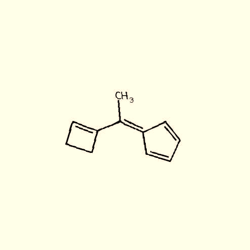 CC(C1=CCC1)=C1C=CC=C1